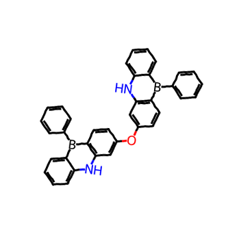 c1ccc(B2c3ccccc3Nc3cc(Oc4ccc5c(c4)Nc4ccccc4B5c4ccccc4)ccc32)cc1